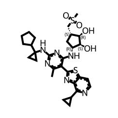 Cc1nc(NC2(C3CCCC3)CC2)nc(N[C@@H]2C[C@H](CS(C)(=O)=O)[C@@H](O)[C@H]2O)c1-c1nc2c(C3CC3)nccc2s1